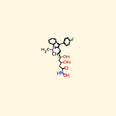 CC(C)n1c(C=C[C@@H](O)C[C@@H](O)CC(=O)NO)c(-c2ccc(F)cc2)c2ccccc21